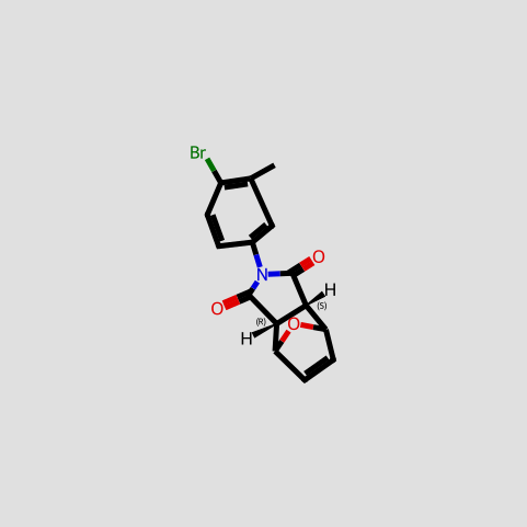 Cc1cc(N2C(=O)[C@@H]3C4C=CC(O4)[C@@H]3C2=O)ccc1Br